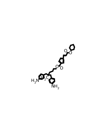 [CH2]C(CCCCOC(=O)c1ccc(/C=C/C(=O)OC2CCCCC2)cc1)(Cc1ccc(N)cc1)Cc1ccc(N)cc1